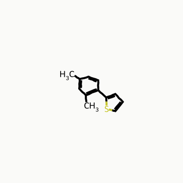 Cc1ccc(-c2cccs2)c(C)c1